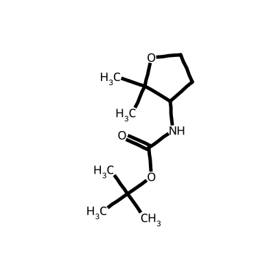 CC(C)(C)OC(=O)NC1CCOC1(C)C